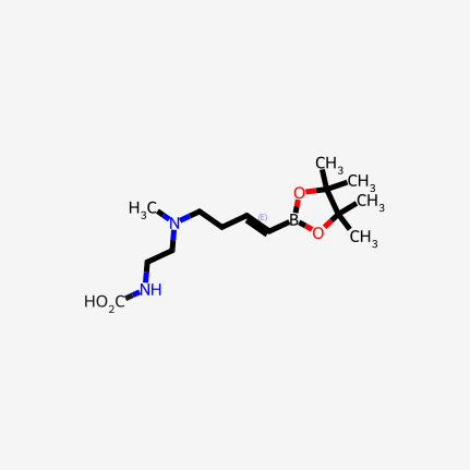 CN(CC/C=C/B1OC(C)(C)C(C)(C)O1)CCNC(=O)O